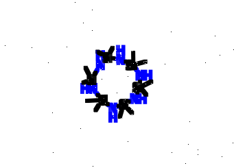 C[Si]1(C)N[Si](C)(C)N[Si](C)(C)N[Si](C)(C)N[Si](C)(C)N[Si](C)(C)N1